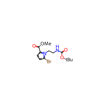 COC(=O)c1ccc(Br)n1CCNC(=O)OC(C)(C)C